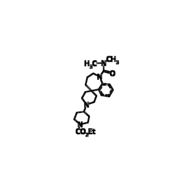 CCOC(=O)N1CCC(N2CCC3(CCCN(C(=O)N(C)C)c4ccccc43)CC2)CC1